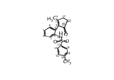 CC1=C(c2ccccc2NS(=O)(=O)c2ccc(C)cc2)C(=O)CC1